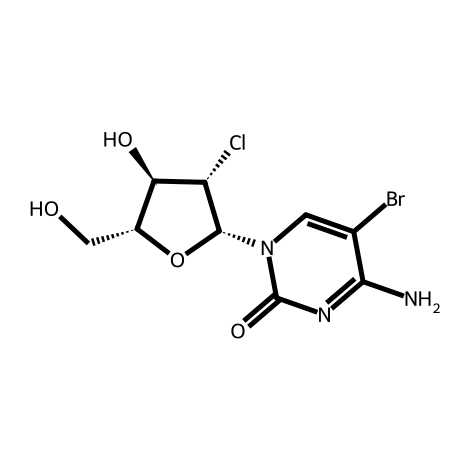 Nc1nc(=O)n([C@@H]2O[C@H](CO)[C@@H](O)[C@@H]2Cl)cc1Br